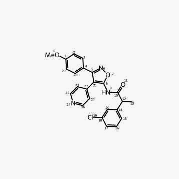 COc1ccc(-c2noc(NC(=O)C(C)c3cccc(Cl)c3)c2-c2ccncc2)cc1